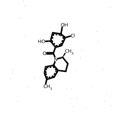 Cc1ccc2c(c1)CC[C@H](C)N2C(=O)c1cc(Cl)c(O)cc1O